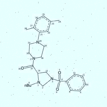 CCCCN1CN(S(=O)(=O)c2ccccc2)CC1C(=O)N1CCN(c2cc(C)ccc2C)CC1